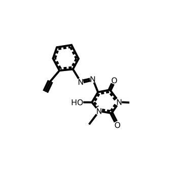 C#Cc1ccccc1/N=N/c1c(O)n(C)c(=O)n(C)c1=O